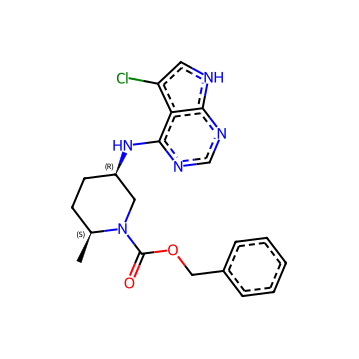 C[C@H]1CC[C@@H](Nc2ncnc3[nH]cc(Cl)c23)CN1C(=O)OCc1ccccc1